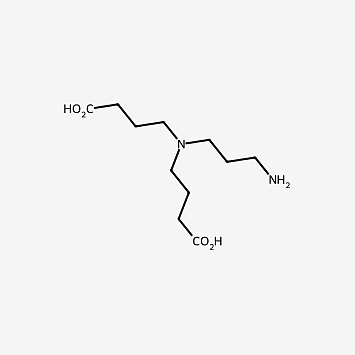 NCCCN(CCCC(=O)O)CCCC(=O)O